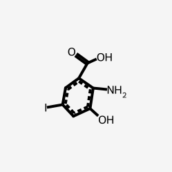 Nc1c(O)cc(I)cc1C(=O)O